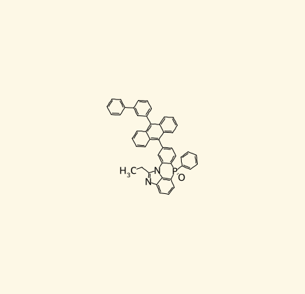 CCc1nc2cccc3c2n1-c1cc(-c2c4ccccc4c(-c4cccc(-c5ccccc5)c4)c4ccccc24)ccc1P3(=O)c1ccccc1